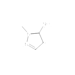 CN1N=[C]CC1[N+](=O)[O-]